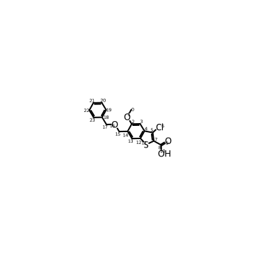 COc1cc2c(Cl)c(C(=O)O)sc2cc1COCc1ccccc1